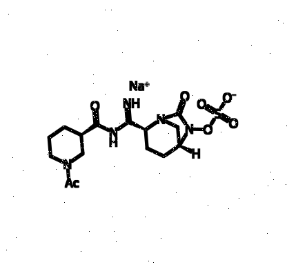 CC(=O)N1CCC[C@@H](C(=O)NC(=N)[C@@H]2CC[C@@H]3CN2C(=O)N3OS(=O)(=O)[O-])C1.[Na+]